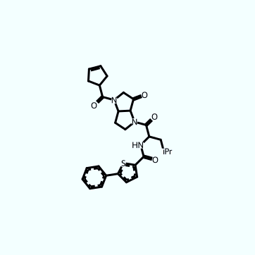 CC(C)CC(NC(=O)c1ccc(-c2ccccc2)s1)C(=O)N1CCC2C1C(=O)CN2C(=O)C1CC=CC1